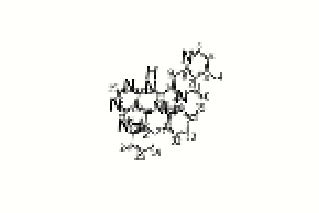 C=C1c2c(C)ccnc2C=C(CNc2ncnc(N)c2C(=N)C2=CC=CCC2)N1c1ccccc1C